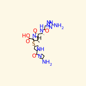 C[C@@H](NC(=O)Cn1nnc(N)n1)[C@H]1C(=O)N2C(C(=O)O)=C(SC3CNC(C(=O)N4CCC(N)C4)C3)[C@H](C)[C@H]12